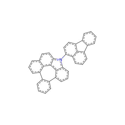 c1ccc2c(c1)-c1cccc3c(-n4c5cccc6c5c5c7c(cccc7ccc54)-c4ccccc4-6)ccc-2c13